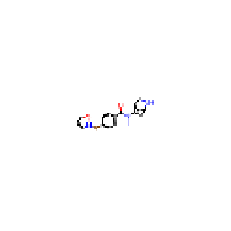 O=C(NC1CC2CC1CN2)c1ccc(SN2C=CCO2)cc1